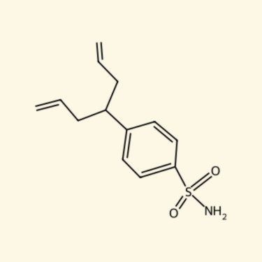 C=CCC(CC=C)c1ccc(S(N)(=O)=O)cc1